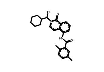 Cc1ccc(C)c(C(=O)Nc2cccc3c(=O)n(C(O)C4CCCCC4)ccc23)c1